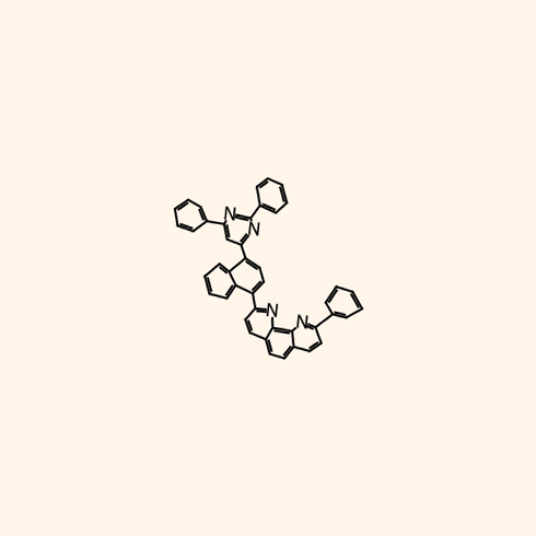 c1ccc(-c2cc(-c3ccc(-c4ccc5ccc6ccc(-c7ccccc7)nc6c5n4)c4ccccc34)nc(-c3ccccc3)n2)cc1